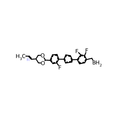 BCc1ccc(-c2ccc(-c3ccc(C4OCC(/C=C/C)CO4)cc3F)cc2)c(F)c1F